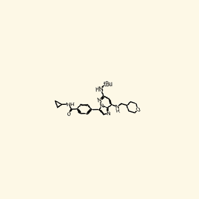 CC(C)(C)Nc1cc(NCC2CCOCC2)c2ncc(-c3ccc(C(=O)NC4CC4)cc3)n2n1